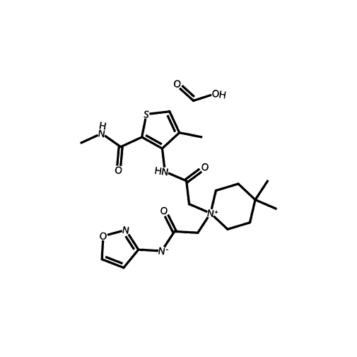 CNC(=O)c1scc(C)c1NC(=O)C[N+]1(CC(=O)[N-]c2ccon2)CCC(C)(C)CC1.O=CO